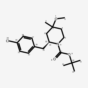 COC1(C)CCN(C(=O)OC(C)(C)C)[C@@H](Cc2ccc(Cl)cc2)C1